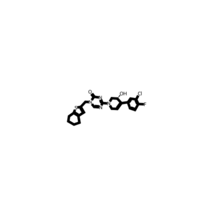 O=c1nc(N2CC=C(c3ccc(F)c(Cl)c3)[C@@H](O)C2)ncn1Cc1cc2c(s1)CCCC2